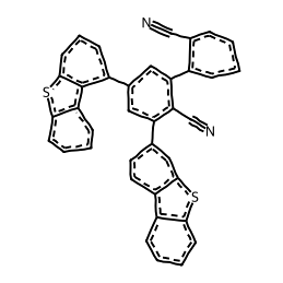 N#Cc1ccccc1-c1cc(-c2cccc3sc4ccccc4c23)cc(-c2ccc3c(c2)sc2ccccc23)c1C#N